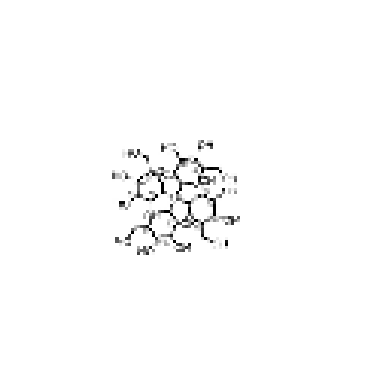 OC[C@H]1O[CH]([Cu]([CH]2O[C@H](CO)[C@@H](O)[C@H](O)[C@H]2O)([CH]2O[C@H](CO)[C@@H](O)[C@H](O)[C@H]2O)[CH]2O[C@H](CO)[C@@H](O)[C@H](O)[C@H]2O)[C@H](O)[C@@H](O)[C@@H]1O